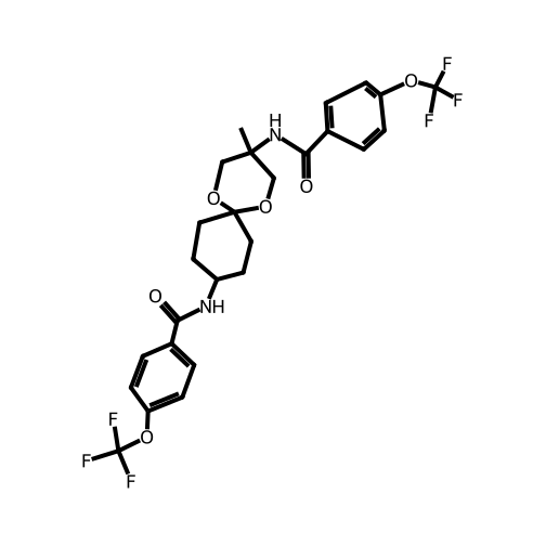 CC1(NC(=O)c2ccc(OC(F)(F)F)cc2)COC2(CCC(NC(=O)c3ccc(OC(F)(F)F)cc3)CC2)OC1